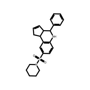 O=S(=O)(c1ccc2c(c1)C1CC=CC1C(c1ccccc1)N2)N1CCCCC1